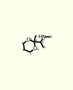 CNC(C)C1(C)OCCCO1